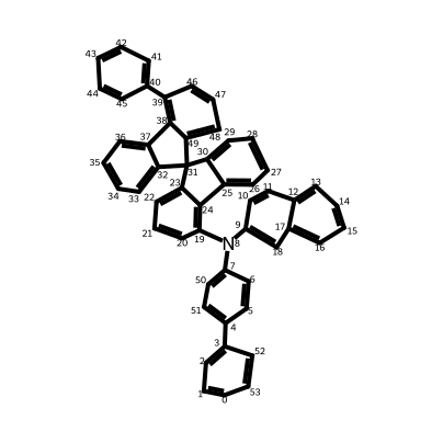 c1ccc(-c2ccc(N(c3ccc4ccccc4c3)c3cccc4c3-c3ccccc3C43c4ccccc4-c4c(-c5ccccc5)cccc43)cc2)cc1